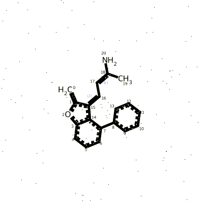 C=c1oc2cccc(-c3ccccc3)c2/c1=C/C=C(\C)N